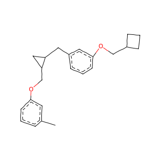 Cc1cccc(OCC2CC2Cc2cccc(OCC3CCC3)c2)c1